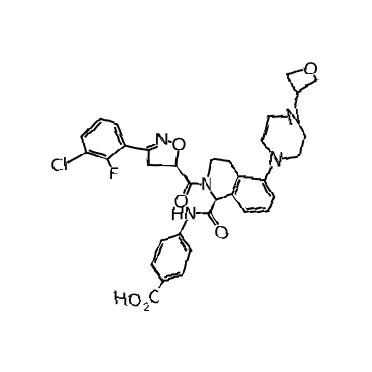 O=C(O)c1ccc(NC(=O)[C@@H]2c3cccc(N4CCN(C5COC5)CC4)c3CCN2C(=O)[C@H]2CC(c3cccc(Cl)c3F)=NO2)cc1